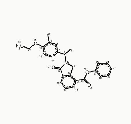 Cc1cc(C(C)N2Cc3c(ccnc3C(=O)Oc3ccccc3)C2=O)nnc1OCC(F)(F)F